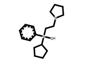 O[Si](CCN1CCCC1)(c1ccccc1)C1CCCC1